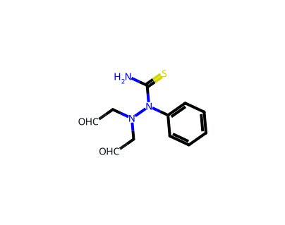 NC(=S)N(c1ccccc1)N(CC=O)CC=O